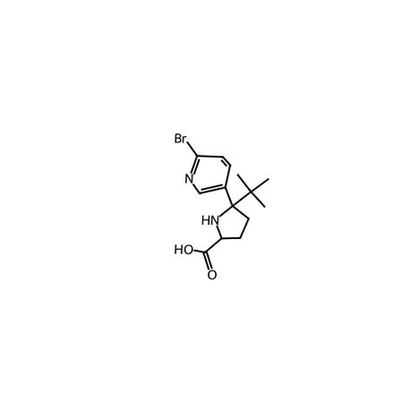 CC(C)(C)C1(c2ccc(Br)nc2)CCC(C(=O)O)N1